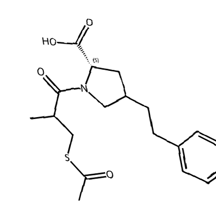 CC(=O)SCC(C)C(=O)N1CC(CCc2ccccc2)C[C@H]1C(=O)O